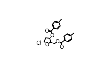 Cc1ccc(C(=O)OC[C@H]2O[C@H](Cl)C[C@H]2OC(=O)c2ccc(C)cc2)cc1